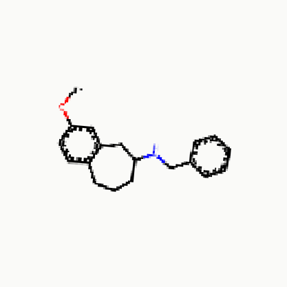 CC(C)Oc1ccc2c(c1)CC(NCc1ccccc1)CCC2